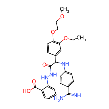 CCOc1cc(C(Nc2ccc(C(=N)N)cc2)C(=O)NNc2ccccc2C(=O)O)ccc1OCCOC